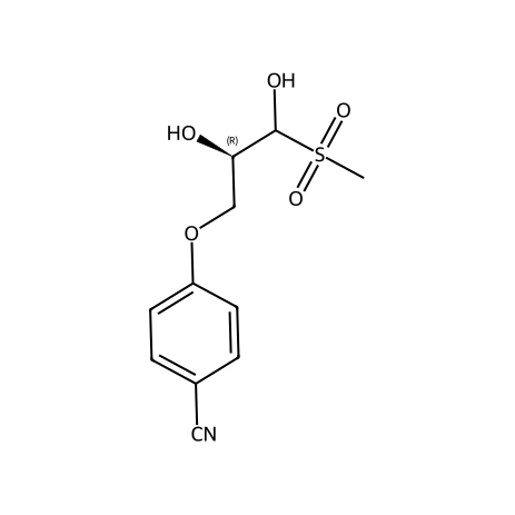 CS(=O)(=O)C(O)[C@H](O)COc1ccc(C#N)cc1